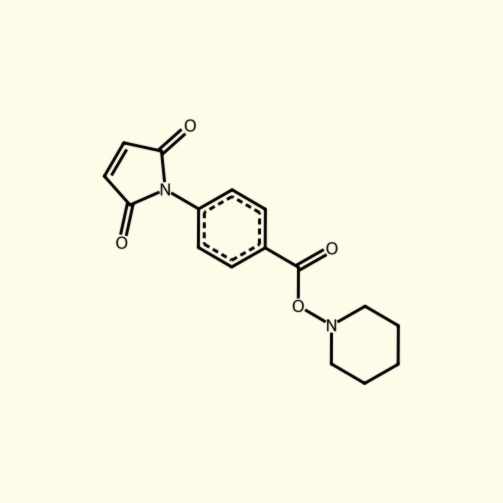 O=C(ON1CCCCC1)c1ccc(N2C(=O)C=CC2=O)cc1